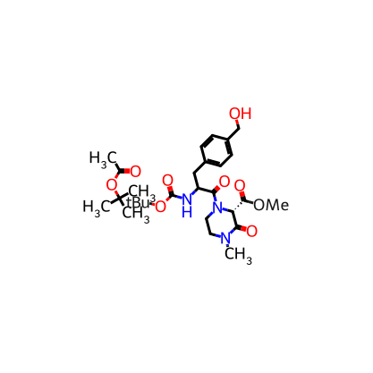 CC(=O)OC(C)(C)C.COC(=O)[C@@H]1C(=O)N(C)CCN1C(=O)C(Cc1ccc(CO)cc1)NC(=O)OC(C)(C)C